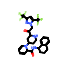 O=C(Cn1nc(C(F)(F)F)cc1C(F)(F)F)C1CC(N2C=CC=CC2C(=O)NC2CCCc3ccccc32)CCN1